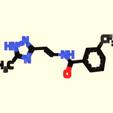 Cc1nc(/C=C/NC(=O)c2cccc(C(F)(F)F)c2)n[nH]1